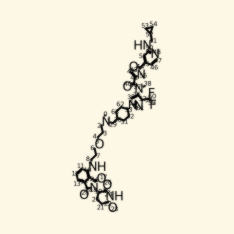 CN(CCCOCCCNc1cccc2c1C(=O)N(C1CCC(=O)NC1=O)C2=O)CC1CCC(n2cc(N(C)C(=O)c3coc(-c4ccnc(NCC5CC5)c4)n3)c(C(F)F)n2)CC1